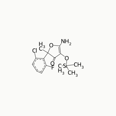 CC1(c2c(F)cccc2Cl)OC(N)=C(O[Si](C)(C)C)C1=O